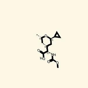 COC(=O)N[C@H](C(=O)O)[C@@H]1C[C@H](C)O[C@@H](C2CC2)C1